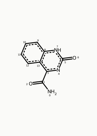 NC(=O)c1nc(=O)[nH]c2ccccc12